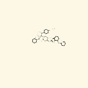 CCC(c1ccc(OC)cc1)C(N1CCC(Nc2nc3c(Cc4ccccn4)cccc3[nH]2)CC1)N(C)C(=O)c1ccccc1